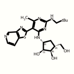 Cc1nc(NCC(C)(C)C)nc(N[C@@H]2C[C@H](CO)[C@@H](O)[C@H]2O)c1-c1nc2cnccc2s1